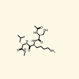 CNC(=O)[C@H](CC(C)C)NC(=O)[C@H](CCCCN)NC(=O)[C@H](CO)NC(C)=O